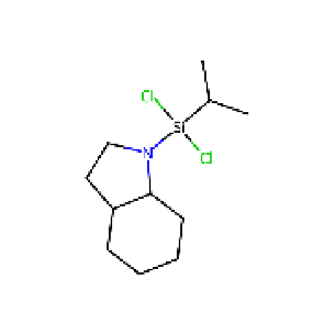 CC(C)[Si](Cl)(Cl)N1CCC2CCCCC21